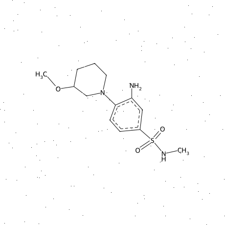 CNS(=O)(=O)c1ccc(N2CCCC(OC)C2)c(N)c1